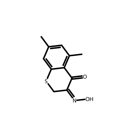 Cc1cc(C)c2c(c1)SC/C(=N/O)C2=O